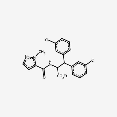 CCOC(=O)C(NC(=O)c1ccnn1C)C(c1cccc(Cl)c1)c1cccc(Cl)c1